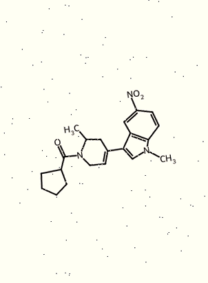 CC1CC(c2cn(C)c3ccc([N+](=O)[O-])cc23)=CCN1C(=O)C1CCCC1